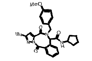 COc1ccc(CN2C(=O)c3cc(C(C)(C)C)nn3C(=O)c3ccccc3C2C(=O)NC2CCCC2)cc1